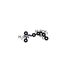 C=N/C(=N\C(=C/Cc1ccc(-c2ccc3c(c2)Oc2c(ccc4c2oc2ccccc24)C3(C)C)cc1)c1ccccc1)c1ccccc1